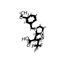 COc1cccc(CN2CCn3nc(C(F)(F)F)c(C(=O)O)c32)c1